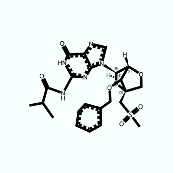 CC(C)C(=O)Nc1nc2c(ncn2[C@@H]2O[C@@]3(CS(C)(=O)=O)CO[C@@H]2[C@@H]3OCc2ccccc2)c(=O)[nH]1